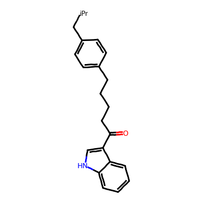 CC(C)Cc1ccc(CCCCC(=O)c2c[nH]c3ccccc23)cc1